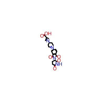 O=C1CC[C@@H](N2C(=O)c3ccc(N4CCC(N5CC(C(=O)O)C5)CC4)cc3C2=O)C(=O)N1